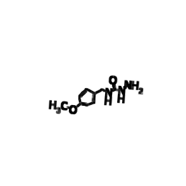 COc1ccc(CNC(=O)NN)cc1